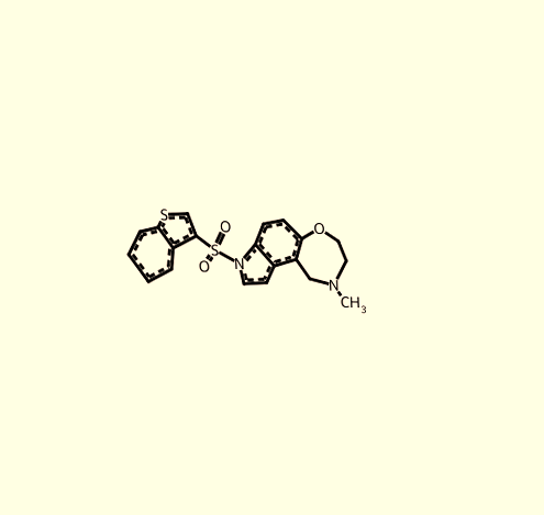 CN1CCOc2ccc3c(ccn3S(=O)(=O)c3csc4ccccc34)c2C1